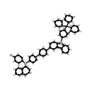 Fc1ccc(N(c2ccc(-c3ccc(-c4ccc5c(c4)c4ccccc4n5-c4ccc5c(c4)-c4ccccc4C5(c4ccccc4)c4ccccc4)cc3)cc2)c2cccc3ccccc23)cc1